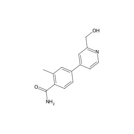 Cc1cc(-c2ccnc(CO)c2)ccc1C(N)=O